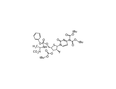 CC(NP(=O)(OC[C@H]1SC(n2ccc(N(C(=O)OC(C)(C)C)C(=O)OC(C)(C)C)nc2=O)[C@@H](F)[C@@H]1OC(=O)OC(C)(C)C)Oc1ccccc1)C(=O)O